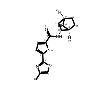 Cc1csc(-c2ccc(C(=O)N[C@@H]3C[C@H]4CC[C@@H]3N4)s2)n1